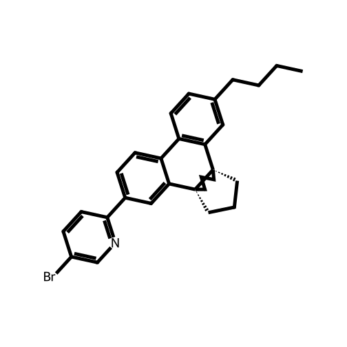 CCCCc1ccc2c(c1)[C@]13CCC[C@]1(CCC3)c1cc(-c3ccc(Br)cn3)ccc1-2